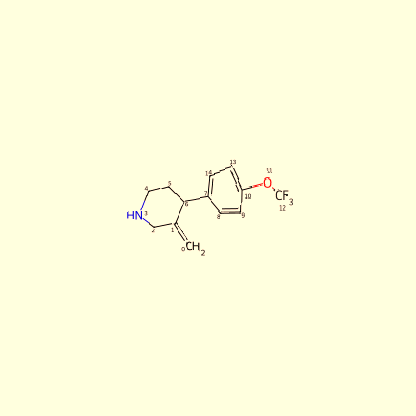 C=C1CNCCC1c1ccc(OC(F)(F)F)cc1